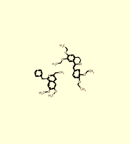 CCOc1ccc(/C=C2\NCCc3cc(OCC)c(OCC)cc32)cc1OCC.CCc1cc2cc(OC)c(OC)cc2c(Cc2ccccc2)n1